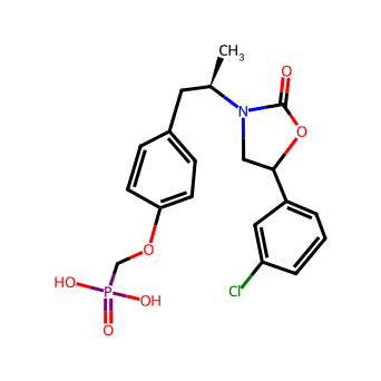 C[C@H](Cc1ccc(OCP(=O)(O)O)cc1)N1CC(c2cccc(Cl)c2)OC1=O